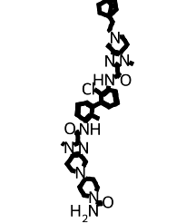 Cc1c(NC(=O)c2nc3c(n2C)CCN(C2CCN(C(N)=O)CC2)C3)cccc1-c1cccc(NC(=O)c2nc3c(n2C)CCN(CCC24CCC(CC2)C4)C3)c1Cl